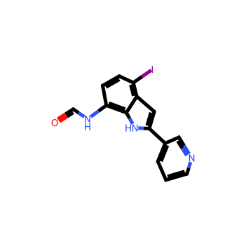 O=CNc1ccc(I)c2cc(-c3cccnc3)[nH]c12